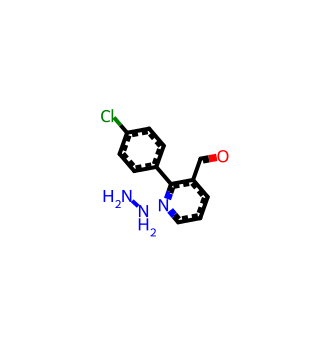 NN.O=Cc1cccnc1-c1ccc(Cl)cc1